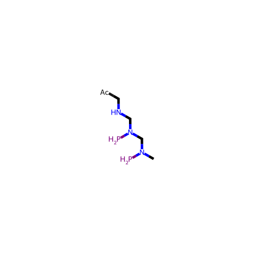 CC(=O)CNCN(P)CN(C)P